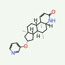 C[C@H]1C[C@H]2NC(=O)C=C[C@]2(C)[C@H]2CC[C@]3(C)C[C@@H](Oc4cccnc4)C[C@H]3[C@H]12